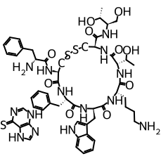 CC(O)[C@@H]1NC(=O)[C@H](CCCCN)NC(=O)[C@@H](Cc2c[nH]c3ccccc23)NC(=O)[C@H](Cc2ccccc2)NC(=O)[C@@H](NC(=O)[C@H](N)Cc2ccccc2)CSSC[C@@H](C(=O)N[C@H](CO)[C@@H](C)O)NC1=O.S=c1nc[nH]c2nc[nH]c12